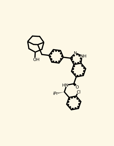 CC(C)[C@H](NC(=O)c1ccc2[nH]nc(-c3ccc(CC4CC5CCC4CC(O)C5)cc3)c2c1)c1ccccc1Cl